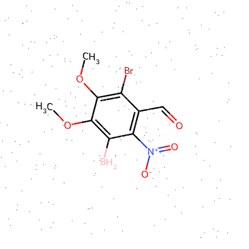 Bc1c(OC)c(OC)c(Br)c(C=O)c1[N+](=O)[O-]